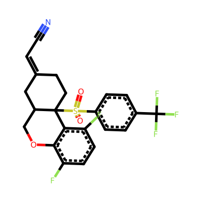 N#CC=C1CCC2(S(=O)(=O)c3ccc(C(F)(F)F)cc3)c3c(F)ccc(F)c3OCC2C1